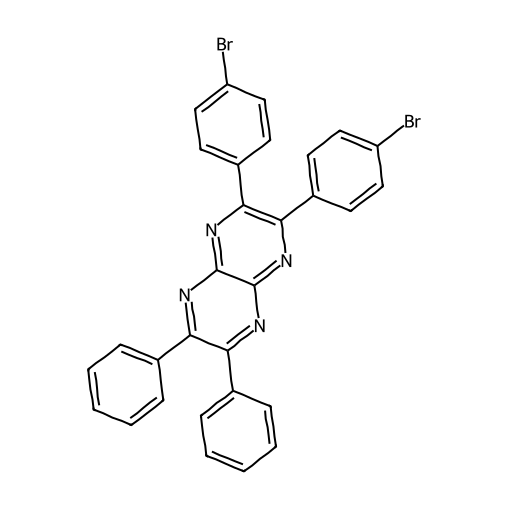 Brc1ccc(-c2nc3nc(-c4ccccc4)c(-c4ccccc4)nc3nc2-c2ccc(Br)cc2)cc1